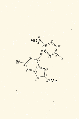 CSC1N=C2C(=CC(Br)=CN2C)S1.Cc1ccc(S(=O)(=O)O)cc1